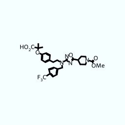 COC(=O)N1CCC(c2nc(N(CCc3ccc(OC(C)(C)C(=O)O)cc3)Cc3ccc(C(F)(F)F)cc3)no2)CC1